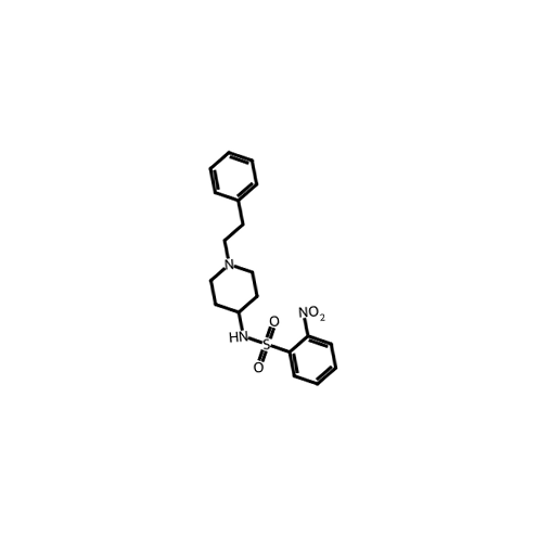 O=[N+]([O-])c1ccccc1S(=O)(=O)NC1CCN(CCc2ccccc2)CC1